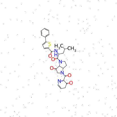 CC(C)CC(NC(=O)c1ccc(-c2ccccc2)s1)C(=O)N1CCC2C1C(=O)CN2C(=O)C1=NC=CCC1=O